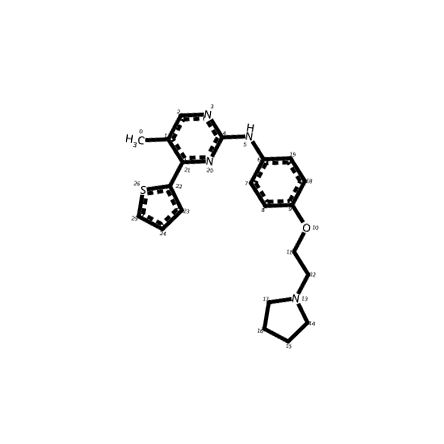 Cc1cnc(Nc2ccc(OCCN3CCCC3)cc2)nc1-c1cccs1